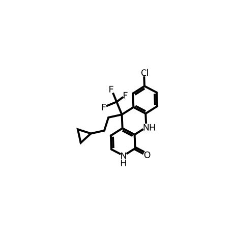 O=c1[nH]ccc2c1Nc1ccc(Cl)cc1C2(CCC1CC1)C(F)(F)F